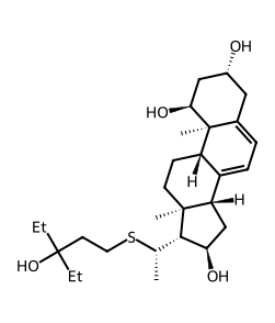 CCC(O)(CC)CCS[C@@H](C)[C@H]1[C@H](O)C[C@H]2C3=CC=C4C[C@@H](O)C[C@H](O)[C@]4(C)[C@H]3CC[C@]12C